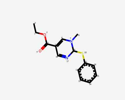 CCOC(=O)C1=CN(C)C(Sc2ccccc2)N=C1